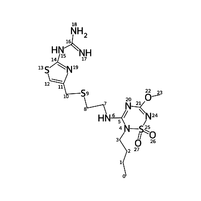 CCCCN1C(NCCSCc2csc(NC(=N)N)n2)=NC(OC)=NS1(=O)=O